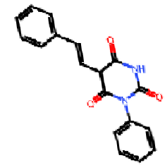 O=C1NC(=O)N(c2ccccc2)C(=O)C1/C=C/c1ccccc1